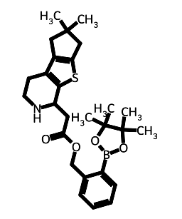 CC1(C)Cc2sc3c(c2C1)CCNC3CC(=O)OCc1ccccc1B1OC(C)(C)C(C)(C)O1